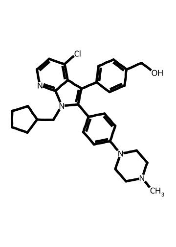 CN1CCN(c2ccc(-c3c(-c4ccc(CO)cc4)c4c(Cl)ccnc4n3CC3CCCC3)cc2)CC1